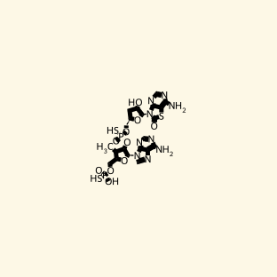 CC1C(COP(=O)(O)S)O[C@@H](n2cnc3c(N)ncnc32)C1OP(=O)(S)OC[C@@H]1CC(O)[C@H](n2c(=O)sc3c(N)ncnc32)O1